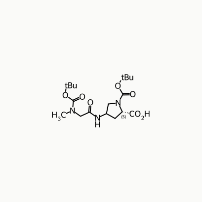 CN(CC(=O)NC1C[C@@H](C(=O)O)N(C(=O)OC(C)(C)C)C1)C(=O)OC(C)(C)C